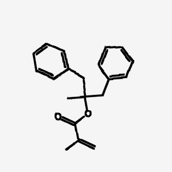 C=C(C)C(=O)OC(C)(Cc1ccccc1)Cc1ccccc1